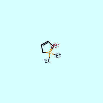 Br.CCP1(CC)=CC=CC1